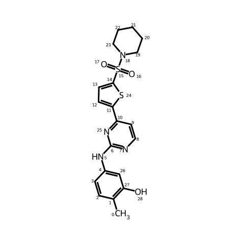 Cc1ccc(Nc2nccc(-c3ccc(S(=O)(=O)N4CCCCC4)s3)n2)cc1O